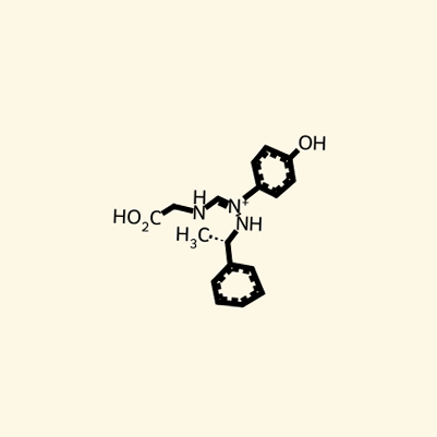 C[C@H](N[N+](=CNCC(=O)O)c1ccc(O)cc1)c1ccccc1